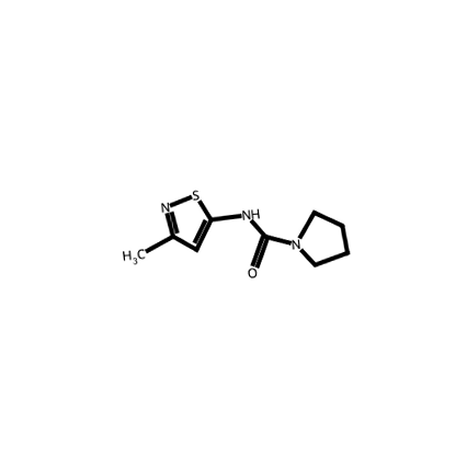 Cc1cc(NC(=O)N2CCCC2)sn1